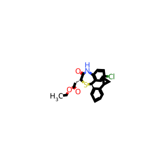 CCOC(=O)C[C@H]1S[C@H](c2ccccc2C2CC2)c2cc(Cl)ccc2NC1=O